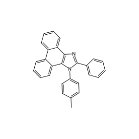 Cc1ccc(-n2c(-c3ccccc3)nc3c4ccccc4c4ccccc4c32)cc1